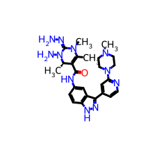 CC1=C(C(=O)Nc2ccc3[nH]nc(-c4ccnc(N5CCN(C)CC5)c4)c3c2)[C@@H](C)N(N)/C(=N\N)N1C